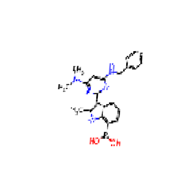 Cc1[nH]c2c(B(O)O)cccc2c1-c1nc(NCc2ccccc2)cc(N(C)C)n1